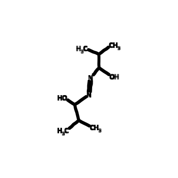 CC(C)C(O)N=NC(O)C(C)C